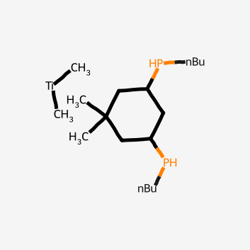 CCCCPC1CC(PCCCC)CC(C)(C)C1.[CH3][Ti][CH3]